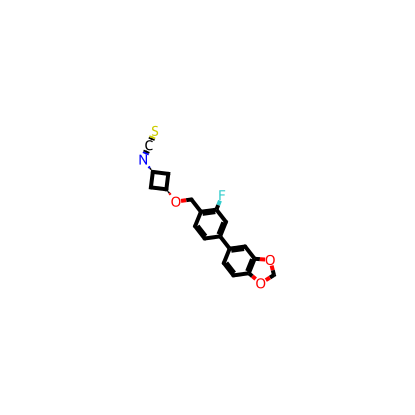 Fc1cc(-c2ccc3c(c2)OCO3)ccc1CO[C@H]1C[C@@H](N=C=S)C1